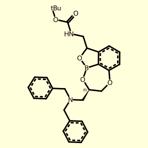 CC(C)(C)OC(=O)NCC1OB2O[C@H](CN(Cc3ccccc3)Cc3ccccc3)COc3cccc1c32